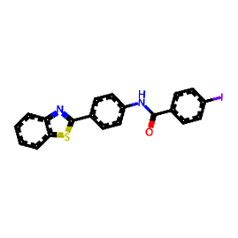 O=C(Nc1ccc(-c2nc3ccccc3s2)cc1)c1ccc(I)cc1